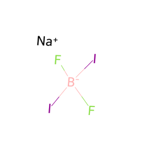 F[B-](F)(I)I.[Na+]